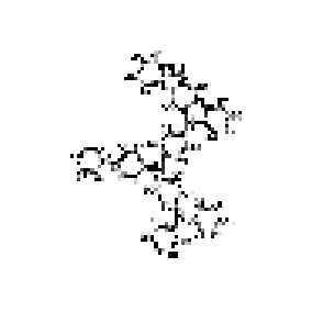 c1ccc(-c2ccc(N(c3ccc(N(c4ccccc4)c4ccccc4)cc3)c3ccc(-n4c5ccccc5c5cc6oc7ccccc7c6cc54)cc3)cc2)cc1